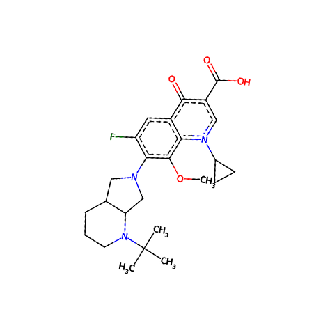 COc1c(N2CC3CCCN(C(C)(C)C)C3C2)c(F)cc2c(=O)c(C(=O)O)cn(C3CC3)c12